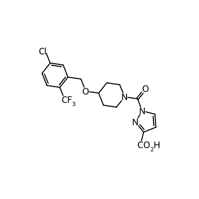 O=C(O)c1ccn(C(=O)N2CCC(OCc3cc(Cl)ccc3C(F)(F)F)CC2)n1